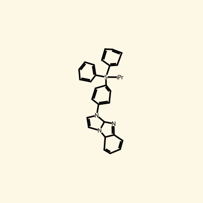 CC(C)S(c1ccccc1)(c1ccccc1)c1ccc(N2C=CN3C4C=CC=CC4=NC23)cc1